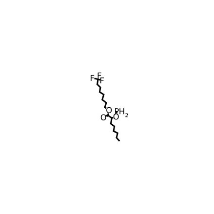 CCCCCCC(OP)C(=O)OCCCCCCCC(F)(F)F